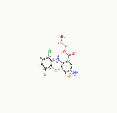 CCOCOC(=O)c1ccccc1Nc1c(Cl)ccc(C)c1Cl.N=P